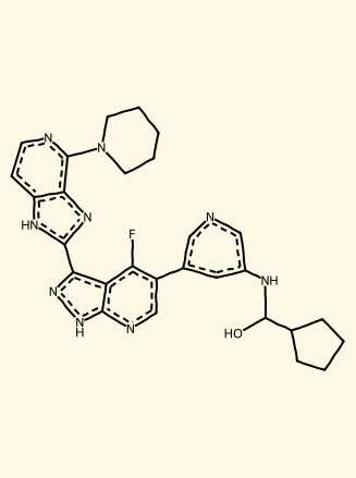 OC(Nc1cncc(-c2cnc3[nH]nc(-c4nc5c(N6CCCCC6)nccc5[nH]4)c3c2F)c1)C1CCCC1